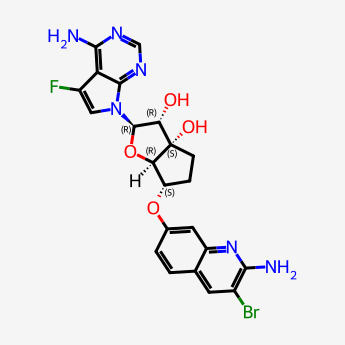 Nc1nc2cc(O[C@H]3CC[C@@]4(O)[C@@H]3O[C@@H](n3cc(F)c5c(N)ncnc53)[C@@H]4O)ccc2cc1Br